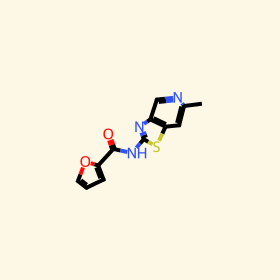 Cc1cc2sc(NC(=O)c3ccco3)nc2cn1